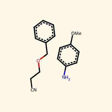 COc1ccc(N)cc1.N#CCCOCc1ccccc1